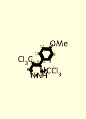 COc1ccc(C2=C(C(Cl)(Cl)Cl)C=NNN2C(Cl)(Cl)Cl)cc1